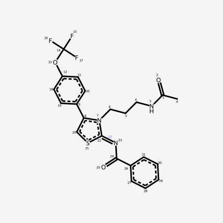 CC(=O)NCCCn1c(-c2ccc(OC(F)(F)F)cc2)cs/c1=N\C(=O)c1ccccc1